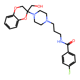 O=C(NCCCN1CCN(C2(CO)COc3ccccc3O2)CC1)c1ccc(F)cc1